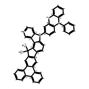 CC1(C)c2cc3c4ccccc4c4ccccc4c3cc2-c2ccc3c(c21)c1cnccc1n3-c1ccc2c(c1)Sc1ccccc1N2c1ccccc1